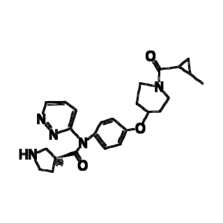 CC1CC1C(=O)N1CCC(Oc2ccc(N(C(=O)[C@H]3CCNC3)c3cccnn3)cc2)CC1